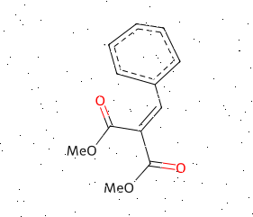 COC(=O)C(=Cc1c[c]ccc1)C(=O)OC